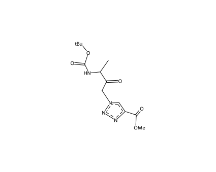 COC(=O)c1cn(CC(=O)C(C)NC(=O)OC(C)(C)C)nn1